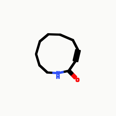 O=C1C#CCCCCCCCN1